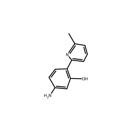 Cc1cccc(-c2ccc(N)cc2O)n1